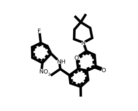 Cc1cc(C(C)Nc2cc(F)ccc2[N+](=O)[O-])c2oc(N3CCC(C)(C)CC3)cc(=O)c2c1